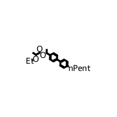 CCCCCc1ccc(-c2ccc(C(C)OC(=O)C(C)OCC)cc2)cc1